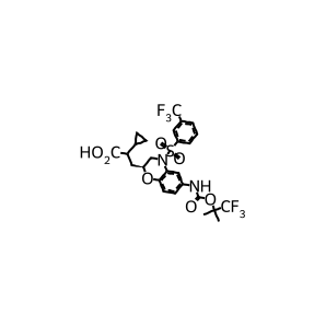 CC(C)(OC(=O)Nc1ccc2c(c1)N(S(=O)(=O)c1cccc(C(F)(F)F)c1)C[C@H](CC(C(=O)O)C1CC1)O2)C(F)(F)F